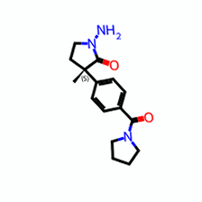 C[C@@]1(c2ccc(C(=O)N3CCCC3)cc2)CCN(N)C1=O